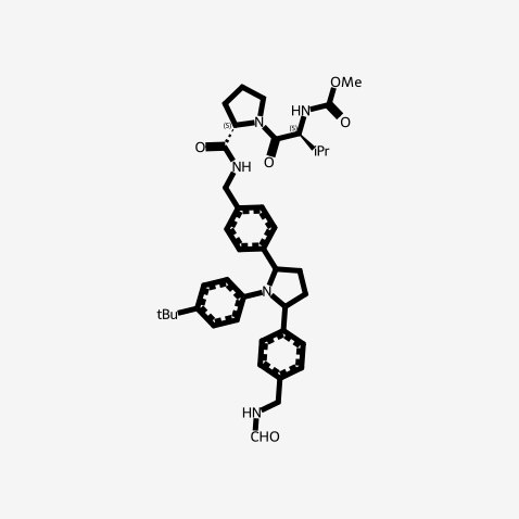 COC(=O)N[C@H](C(=O)N1CCC[C@H]1C(=O)NCc1ccc(C2CCC(c3ccc(CNC=O)cc3)N2c2ccc(C(C)(C)C)cc2)cc1)C(C)C